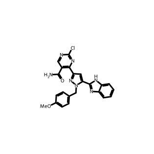 COc1ccc(Cn2nc(-c3nc(Cl)ncc3C(N)=O)cc2-c2nc3ccccc3[nH]2)cc1